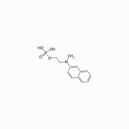 CN(CCOP(=O)(O)O)c1ccc2ccccc2c1